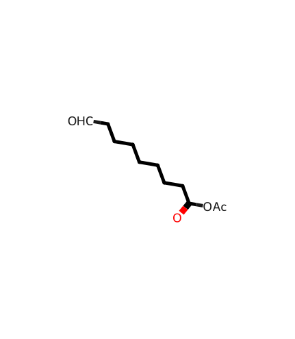 CC(=O)OC(=O)CCCCCCCC=O